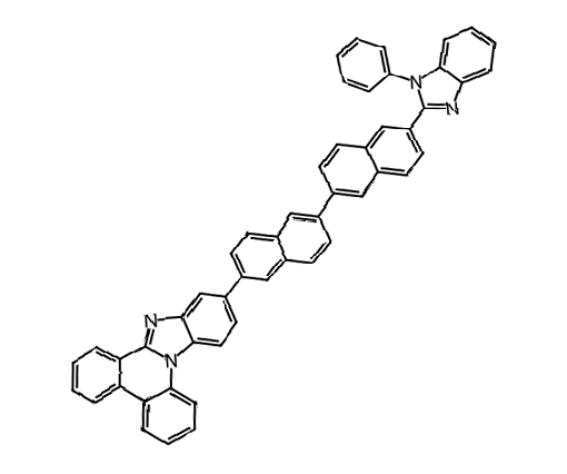 c1ccc(-n2c(-c3ccc4cc(-c5ccc6cc(-c7ccc8c(c7)nc7c9ccccc9c9ccccc9n87)ccc6c5)ccc4c3)nc3ccccc32)cc1